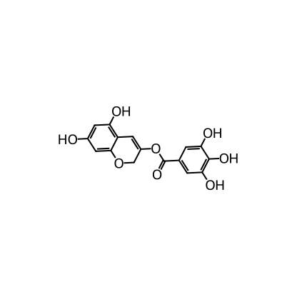 O=C(OC1=Cc2c(O)cc(O)cc2OC1)c1cc(O)c(O)c(O)c1